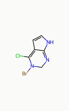 ClC1=c2cc[nH]c2=NCN1Br